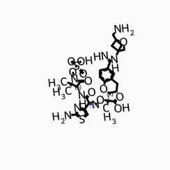 CC(O/N=C(\C(=O)N[C@@H]1C(=O)N(OS(=O)(=O)O)C1(C)C)c1csc(N)n1)(C(=O)O)[C@H]1CCc2cc(C(=N)NC34COC(CN)(C3)C4)ccc2O1